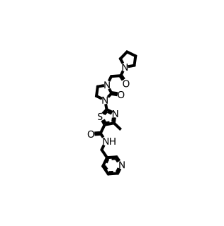 Cc1nc(N2CCN(CC(=O)N3CCCC3)C2=O)sc1C(=O)NCc1cccnc1